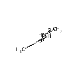 CCCCCCCCCCCCCCCOCOC1CCC[SiH](CCCSC(=O)CCCC)NCC1